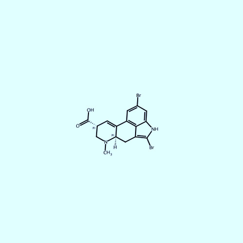 CN1C[C@H](C(=O)O)C=C2c3cc(Br)cc4[nH]c(Br)c(c34)C[C@H]21